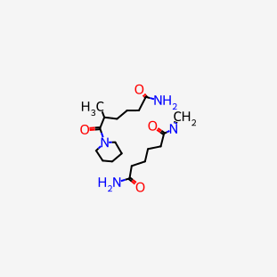 C=NC(=O)CCCCC(N)=O.CC(CCCC(N)=O)C(=O)N1CCCCC1